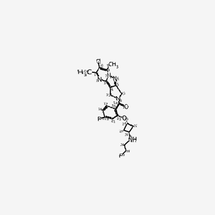 Cc1nc2c3c(nn2c(C)c1Cl)CN(C(=O)c1ccc(F)cc1O[C@H]1C[C@H](NCCF)C1)C3